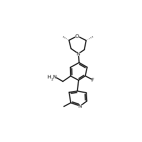 Cc1cc(-c2c(F)cc(N3C[C@@H](C)O[C@@H](C)C3)cc2CN)ccn1